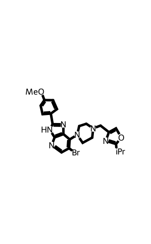 COc1ccc(-c2nc3c(N4CCN(Cc5coc(C(C)C)n5)CC4)c(Br)cnc3[nH]2)cc1